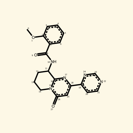 COc1ccccc1C(=O)NC1CCCn2c1nc(-c1ccncn1)cc2=O